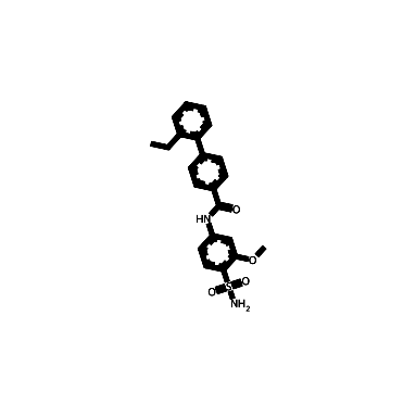 CCc1ccccc1-c1ccc(C(=O)Nc2ccc(S(N)(=O)=O)c(OC)c2)cc1